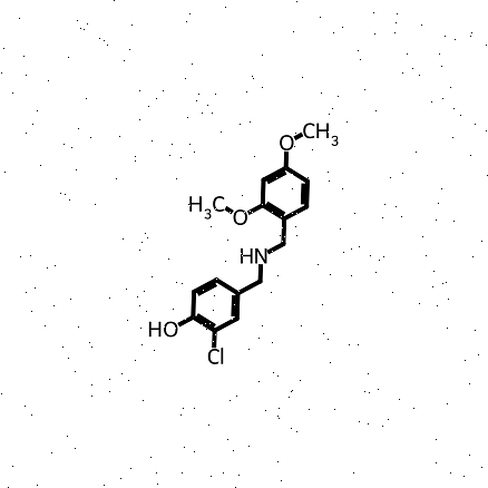 COc1ccc(CNCc2ccc(O)c(Cl)c2)c(OC)c1